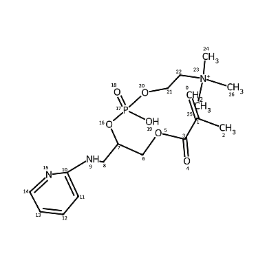 C=C(C)C(=O)OCC(CNc1ccccn1)OP(=O)(O)OCC[N+](C)(C)C